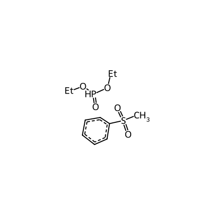 CCO[PH](=O)OCC.CS(=O)(=O)c1ccccc1